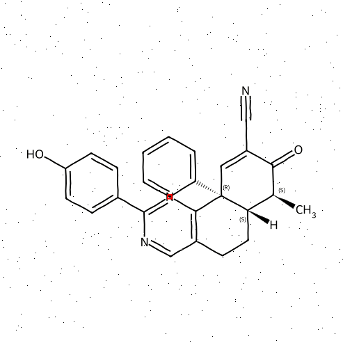 C[C@@H]1C(=O)C(C#N)=C[C@]2(c3ccccc3)c3nc(-c4ccc(O)cc4)ncc3CC[C@@H]12